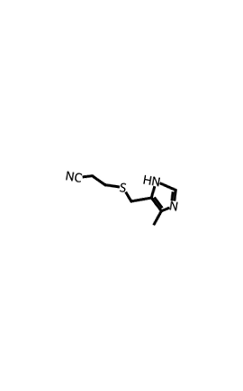 Cc1nc[nH]c1CSCCC#N